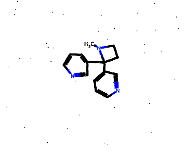 CN1CCC1(c1cccnc1)c1cccnc1